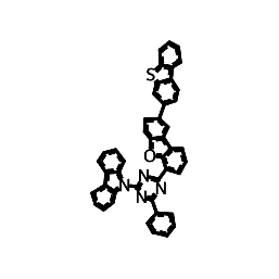 c1ccc(-c2nc(-c3cccc4c3oc3ccc(-c5ccc6c(c5)sc5ccccc56)cc34)nc(-n3c4ccccc4c4ccccc43)n2)cc1